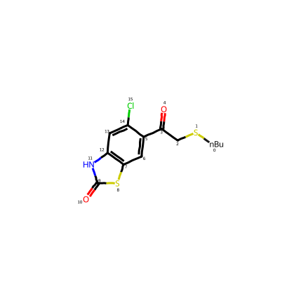 CCCCSCC(=O)c1cc2sc(=O)[nH]c2cc1Cl